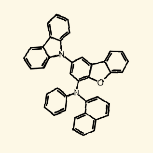 c1ccc(N(c2cccc3ccccc23)c2cc(-n3c4ccccc4c4ccccc43)cc3c2oc2ccccc23)cc1